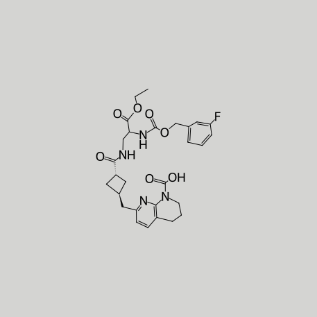 CCOC(=O)C(CNC(=O)[C@H]1C[C@H](Cc2ccc3c(n2)N(C(=O)O)CCC3)C1)NC(=O)OCc1cccc(F)c1